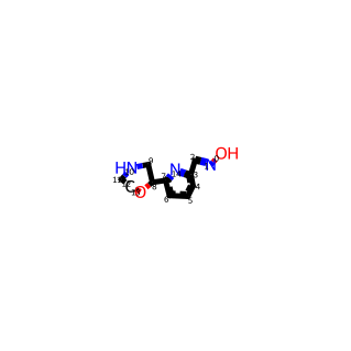 ON=Cc1cccc(C2CNCCO2)n1